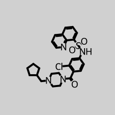 O=C(c1ccc(NS(=O)(=O)c2cccc3cccnc23)cc1Cl)N1CCN(CC2CCCC2)CC1